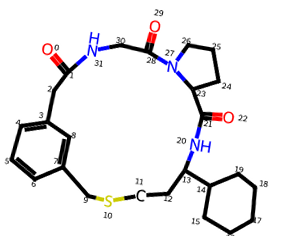 O=C1Cc2cccc(c2)CSCCC(C2CCCCC2)NC(=O)C2CCCN2C(=O)CN1